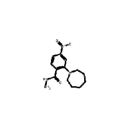 NNC(=O)c1ccc([N+](=O)[O-])cc1N1CCCCCC1